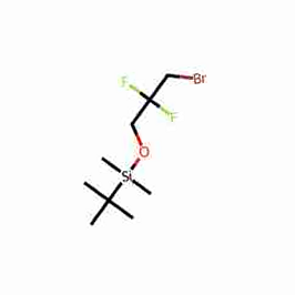 CC(C)(C)[Si](C)(C)OCC(F)(F)CBr